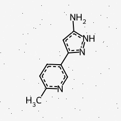 Cc1ccc(-c2cc(N)[nH]n2)cn1